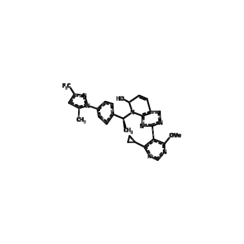 COc1ncnc(C2CC2)c1-c1ncc2c(n1)N([C@@H](C)c1ccc(-n3nc(C(F)(F)F)cc3C)cc1)C(O)C=C2